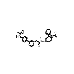 CC(=O)Nc1ccc(-c2cccc(CC(=S)NCC3CCCC(C4C5CCC4C(NC(C)=O)C5)C3)c2)cc1